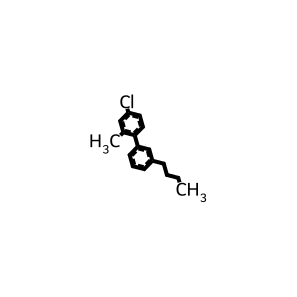 CCCCc1cccc(-c2ccc(Cl)cc2C)c1